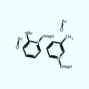 CC(=O)[O-].CC(=O)[O-].CCCCCCC[n+]1cccc(C)c1.CCCCCCC[n+]1ccccc1CCCC